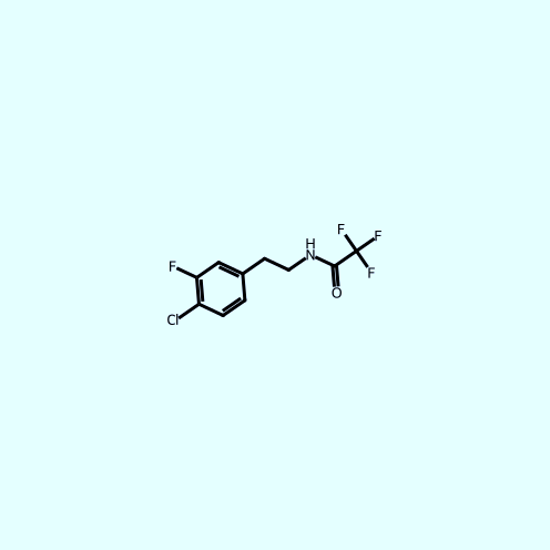 O=C(NCCc1ccc(Cl)c(F)c1)C(F)(F)F